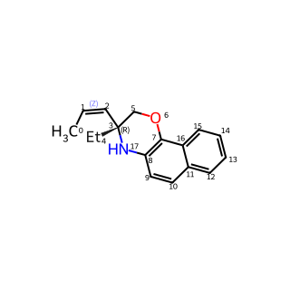 C/C=C\[C@]1(CC)COc2c(ccc3ccccc23)N1